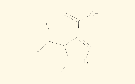 CN1NC=C(C(=O)O)C1C(F)F